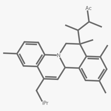 CC(=O)C(C)C(C)C1(C)CN2c3ccc(C)cc3C(CC(C)C)=CC2c2cc(C)cc(C)c21